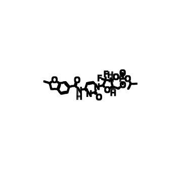 CC(C)OP1(=O)OC[C@H]2OC(n3ccc(NC(=O)c4ccc5c(c4)OC(C)C5)nc3=O)C(F)(F)[C@@H]2O1